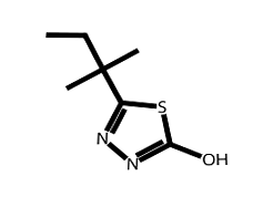 CCC(C)(C)c1nnc(O)s1